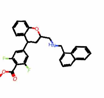 COC(=O)c1c(F)cc(C2CC(CNCc3cccc4ccccc34)Oc3ccccc32)cc1F